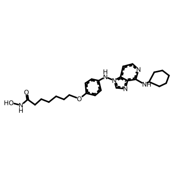 O=C(CCCCCCOc1ccc(Nn2cnc3c(NC4CCCCC4)nccc32)cc1)NO